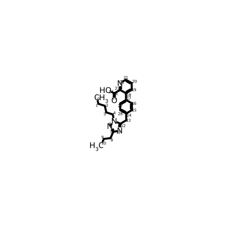 CCCCCn1nc(CCC)nc1Cc1ccc(-c2cccnc2C(=O)O)cc1